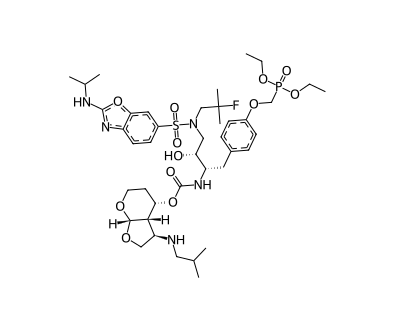 CCOP(=O)(COc1ccc(C[C@H](NC(=O)O[C@H]2CCO[C@H]3OC[C@H](NCC(C)C)[C@H]32)[C@H](O)CN(CC(C)(C)F)S(=O)(=O)c2ccc3nc(NC(C)C)oc3c2)cc1)OCC